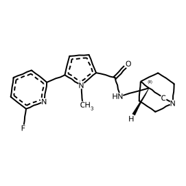 Cn1c(C(=O)N[C@H]2CN3CCC2CC3)ccc1-c1cccc(F)n1